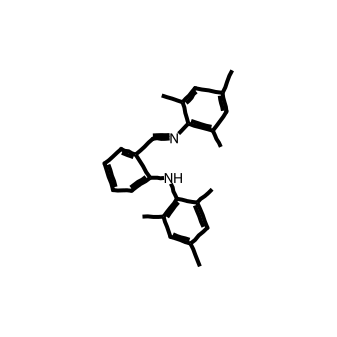 Cc1cc(C)c(N=Cc2ccccc2Nc2c(C)cc(C)cc2C)c(C)c1